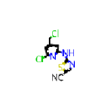 N#Cc1cnc(Nc2cc(CCl)cc(Cl)n2)s1